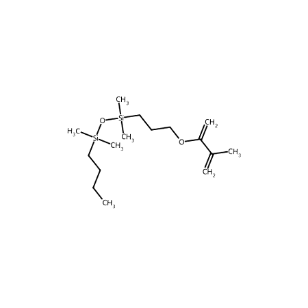 C=C(C)C(=C)OCCC[Si](C)(C)O[Si](C)(C)CCCC